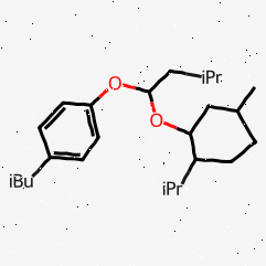 CCC(C)c1ccc(OC(CC(C)C)OC2CC(C)CCC2C(C)C)cc1